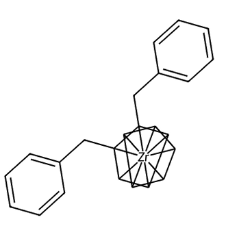 c1ccc(C[C]23[CH]4[CH]5[CH]6[C]2(Cc2ccccc2)[Zr]54632789[CH]3[CH]2[CH]7[CH]8[CH]39)cc1